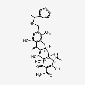 CC(NCc1cc(O)c2c(c1C(F)(F)F)C[C@H]1C[C@H]3[C@H](N(C)C)C(O)=C(C(N)=O)C(=O)[C@@]3(O)C(O)=C1C2=O)c1ccccc1